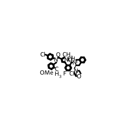 COc1cccc(CN(C(=O)c2cc(-c3cc(F)c(C#N)cc3C(=O)N3Cc4ccccc4C[C@H]3CN3CCOCC3)n(C)c2C)c2ccc(Cl)cc2)c1C